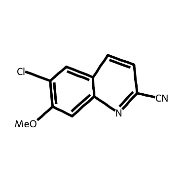 COc1cc2nc(C#N)ccc2cc1Cl